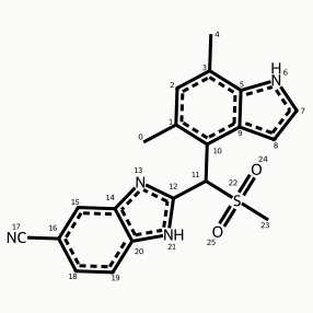 Cc1cc(C)c2[nH]ccc2c1C(c1nc2cc(C#N)ccc2[nH]1)S(C)(=O)=O